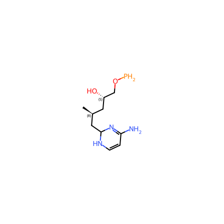 C[C@H](CC1N=C(N)C=CN1)C[C@H](O)COP